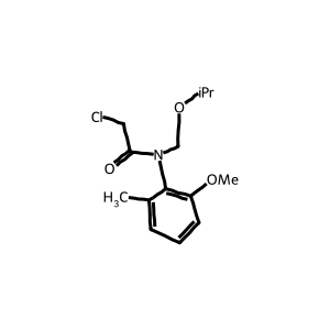 COc1cccc(C)c1N(COC(C)C)C(=O)CCl